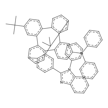 CC(C)(C)c1ccc2c(c1)-c1cc3ccc1-c1ccc(N(c4ccccc4)c4ccccc4)cc1-c1cc(ccc1-2)C(C)(C)c1cc(-c2nc4ccccc4n2-c2ccccc2)ccc1-3